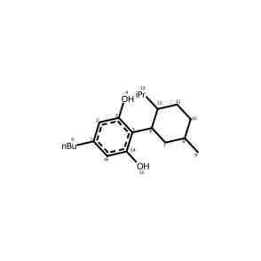 CCCCc1cc(O)c(C2CC(C)CCC2C(C)C)c(O)c1